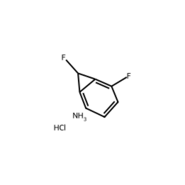 Cl.Fc1cccc2c1C2F.N